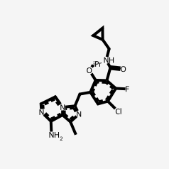 Cc1nc(Cc2cc(Cl)c(F)c(C(=O)NCC3CC3)c2OC(C)C)n2ccnc(N)c12